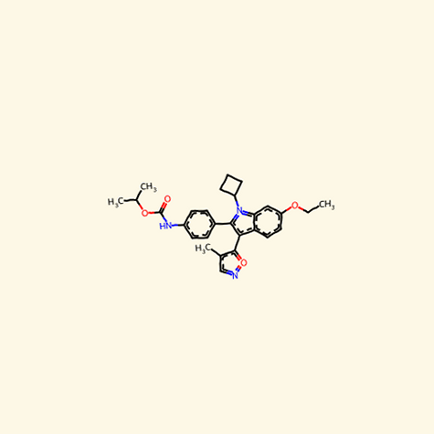 CCOc1ccc2c(-c3oncc3C)c(-c3ccc(NC(=O)OC(C)C)cc3)n(C3CCC3)c2c1